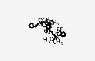 Cc1cc2c(CCc3sc(-c4ccccc4C(F)(F)F)nc3C(C)C)noc2cc1OC(C)(C)C(=O)OCCN1CCCCC1.Cl